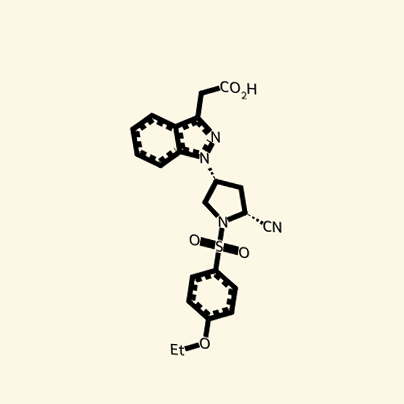 CCOc1ccc(S(=O)(=O)N2C[C@H](n3nc(CC(=O)O)c4ccccc43)C[C@@H]2C#N)cc1